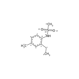 CCc1cc(C)ccc1NS(C)(=O)=O